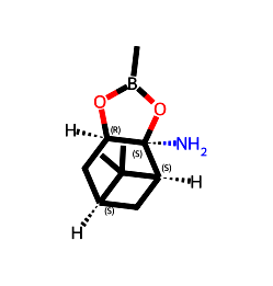 CB1O[C@@H]2C[C@@H]3C[C@@H](C3(C)C)[C@]2(N)O1